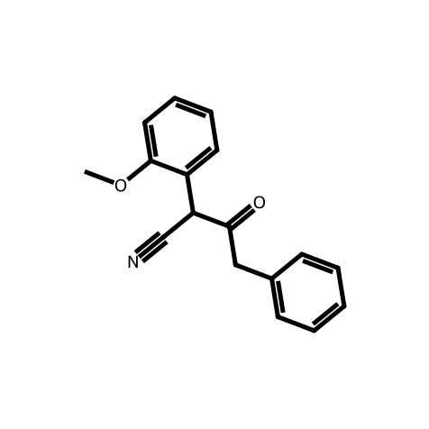 COc1ccccc1C(C#N)C(=O)Cc1ccccc1